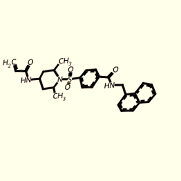 C=CC(=O)NC1CC(C)N(S(=O)(=O)c2ccc(C(=O)NCc3cccc4ccccc34)cc2)C(C)C1